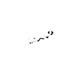 COBN(C)CCCNC(=O)n1ccnc1